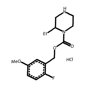 CCC1CNCCN1C(=O)OCc1cc(OC)ccc1F.Cl